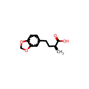 C=C(CCc1ccc2c(c1)OCO2)C(=O)O